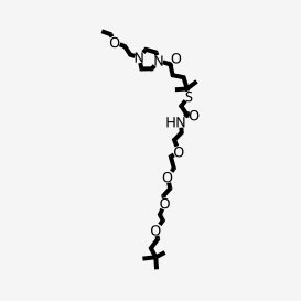 CCOCCN1CCN(C(=O)CCC(C)(C)SCC(=O)NCCOCCOCCOCCOCCC(C)(C)C)CC1